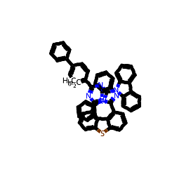 C=C(/C=C\C(=C/C)c1ccccc1)c1nc(-c2cccc3sc4cccc(-c5nc6ccccc6n5-c5ccccc5)c4c23)nc(-n2c3ccccc3c3ccccc32)n1